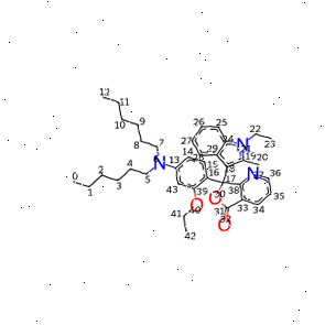 CCCCCCN(CCCCCC)c1ccc(C2(c3c(C)n(CC)c4ccccc34)OC(=O)c3cccnc32)c(OCC)c1